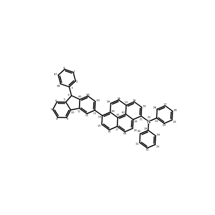 c1ccc(C2c3ccccc3-c3cc(-c4ccc5ccc6c(N(c7ccccc7)c7ccccc7)ccc7ccc4c5c76)ccc32)cc1